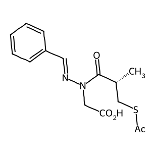 CC(=O)SC[C@@H](C)C(=O)N(CC(=O)O)/N=C/c1ccccc1